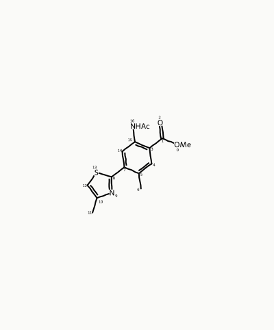 COC(=O)c1cc(C)c(-c2nc(C)cs2)cc1NC(C)=O